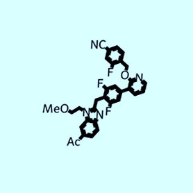 COCCn1c(Cc2c(F)cc(-c3cccnc3OCc3ccc(C#N)cc3F)cc2F)nc2ccc(C(C)=O)cc21